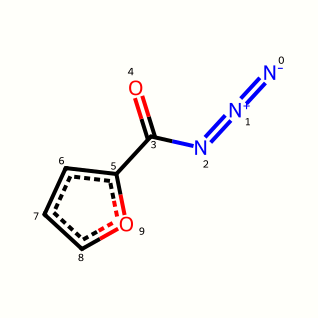 [N-]=[N+]=NC(=O)c1ccco1